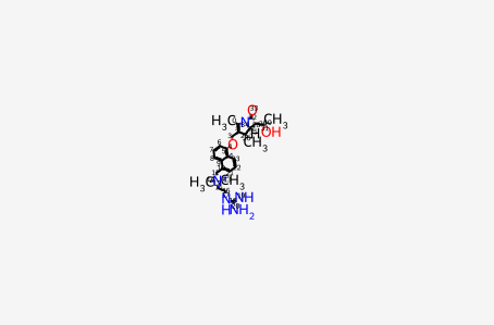 CC1=C(COc2cccc3c(C[N+](C)(C)CCNC(=N)N)cccc23)[C@H](C)[C@@H]2[C@@H]([C@@H](C)O)C(=O)N12